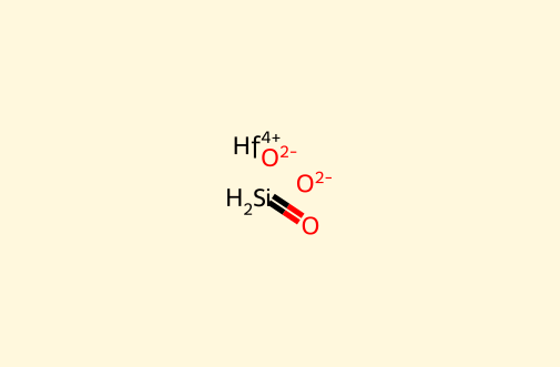 O=[SiH2].[Hf+4].[O-2].[O-2]